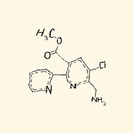 COC(=O)c1cc(Cl)c(CN)nc1-c1ccccn1